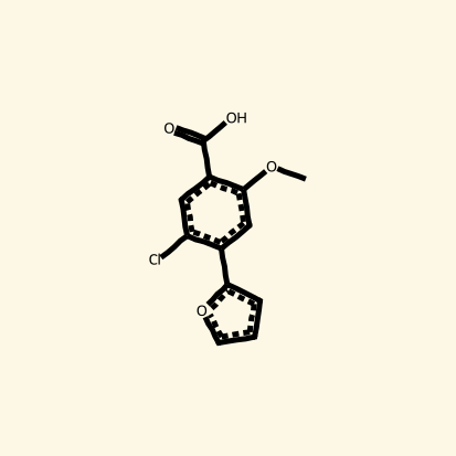 COc1cc(-c2ccco2)c(Cl)cc1C(=O)O